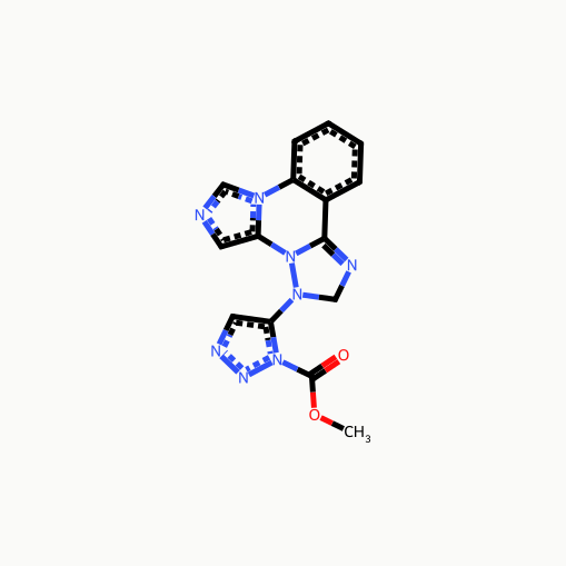 COC(=O)n1nncc1N1CN=C2c3ccccc3-n3cncc3N21